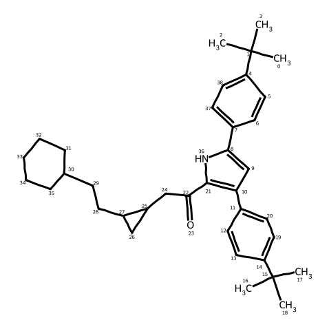 CC(C)(C)c1ccc(-c2cc(-c3ccc(C(C)(C)C)cc3)c(C(=O)CC3CC3CCC3CCCCC3)[nH]2)cc1